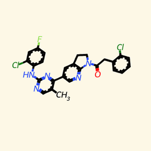 Cc1cnc(Nc2ccc(F)cc2Cl)nc1-c1cnc2c(c1)CCN2C(=O)Cc1ccccc1Cl